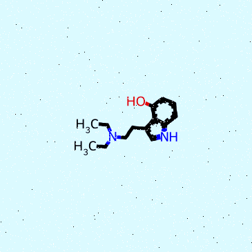 CCN(CC)CCc1c[nH]c2cccc(O)c12